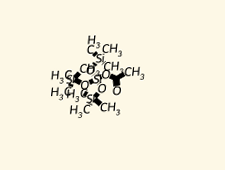 CC(=O)O[Si](O[Si](C)(C)C)(O[Si](C)(C)C)O[Si](C)(C)C